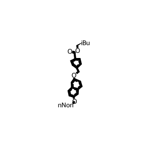 CCCCCCCCCOc1ccc2cc(OCc3ccc(C(=O)OC[C@H](C)CC)cc3)ccc2c1